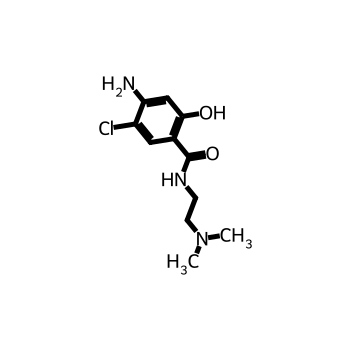 CN(C)CCNC(=O)c1cc(Cl)c(N)cc1O